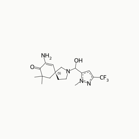 Cn1nc(C(F)(F)F)cc1C(O)N1CC[C@@]2(C=C(N)C(=O)C(C)(C)C2)C1